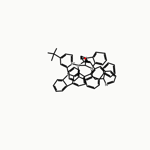 CC(C)(C)c1cc[n+]2c(c1)-n1c3ccccc3c3ccc4c(c31)[N+]21c2c(cccc2N2c3ccccc3N(c3c(-c5ccccc5)cccc3-c3ccccc3)C21)C1=C4CC2N=CC=CC2=C1